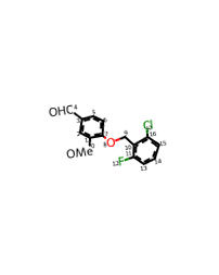 COc1cc(C=O)ccc1OCc1c(F)cccc1Cl